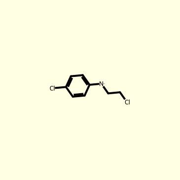 ClCC[N]c1ccc(Cl)cc1